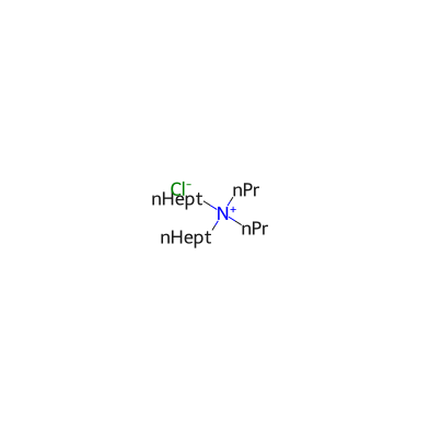 CCCCCCC[N+](CCC)(CCC)CCCCCCC.[Cl-]